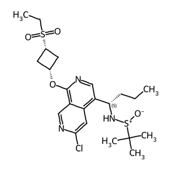 CCC[C@H](N[S+]([O-])C(C)(C)C)c1cnc(O[C@H]2C[C@@H](S(=O)(=O)CC)C2)c2cnc(Cl)cc12